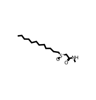 CCCCCCCCCCCC[S+]([O-])CC(=O)NC